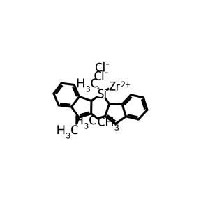 CC1=Cc2ccccc2C1[Si](C)([Zr+2])C1C(C)=C(C)c2ccccc21.[Cl-].[Cl-]